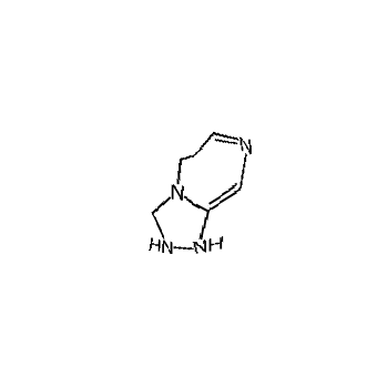 C1=NC=C2NNCN2C1